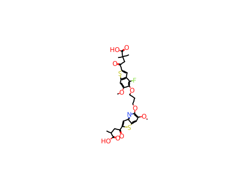 COc1cc2sc(C(=O)CC(C)C(=O)O)cc2nc1OCCCOc1c(OC)cc2sc(C(=O)CC(C)(C)C(=O)O)cc2c1F